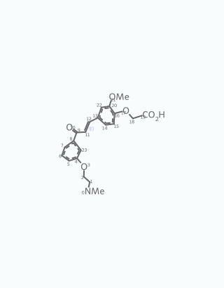 CNCCOc1cccc(C(=O)/C=C/c2ccc(OCC(=O)O)c(OC)c2)c1